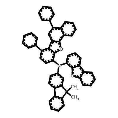 CC1(C)c2ccccc2-c2ccc(N(c3cccc4c3oc3ccccc34)c3ccc(-c4ccccc4)c4c3oc3c5ccccc5c(-c5ccccc5)cc34)cc21